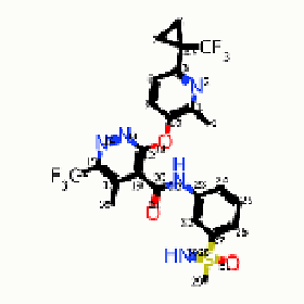 Cc1nc(C2(C(F)(F)F)CC2)ccc1Oc1nnc(C(F)(F)F)c(C)c1C(=O)Nc1cccc(S(C)(=N)=O)c1